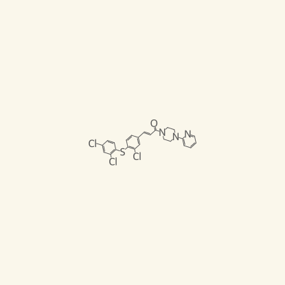 O=C(/C=C/c1ccc(Sc2ccc(Cl)cc2Cl)c(Cl)c1)N1CCN(c2ccccn2)CC1